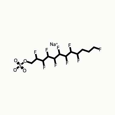 O=S(=O)([O-])OCC(F)C(F)C(F)C(F)C(F)C(F)C(F)C(F)CCCF.[Na+]